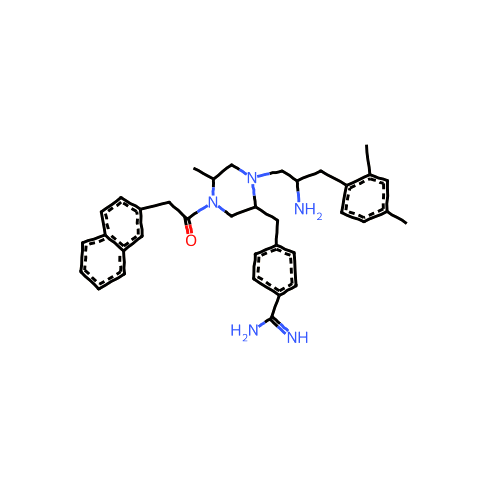 Cc1ccc(CC(N)CN2CC(C)N(C(=O)Cc3ccc4ccccc4c3)CC2Cc2ccc(C(=N)N)cc2)c(C)c1